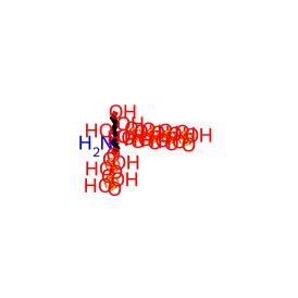 N[C@@H](C=O)[C@@H](O)[C@@H](O)[C@H](O)CO.O=S(=O)(O)O.O=S(=O)(O)O.O=S(=O)(O)O.O=S(=O)(O)O.O=S(=O)(O)O.O=S(=O)(O)O